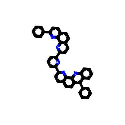 c1ccc(-c2ccc3ccc4ccc(-c5cccc(-c6ccc7ccc8c(-c9ccccc9)c9ccccc9nc8c7n6)n5)nc4c3n2)cc1